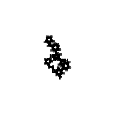 Fc1cc(OCCN2CCCC2)cc(-c2cccc3[nH]c(-c4cc(-c5cncc(CN6CCCC6)c5)[nH]n4)cc23)c1